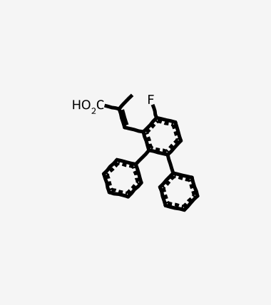 CC(=Cc1c(F)ccc(-c2ccccc2)c1-c1ccccc1)C(=O)O